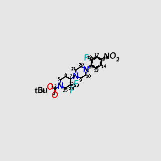 CC(C)(C)OC(=O)N1CC[C@@H](N2CCN(c3ccc([N+](=O)[O-])cc3F)CC2)C(F)(F)C1